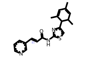 CC1=CC(C)C(c2csc(NC(=O)/C=C/c3cccnc3)n2)C(C)=C1